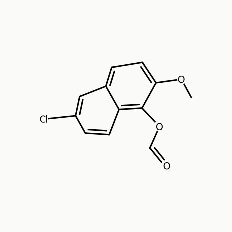 COc1ccc2cc(Cl)ccc2c1OC=O